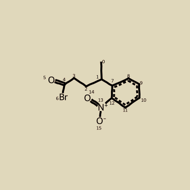 CC(CCC(=O)Br)c1ccccc1[N+](=O)[O-]